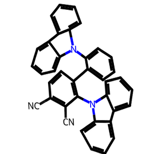 N#Cc1ccc(-c2ccccc2-n2c3ccccc3c3ccccc32)c(-n2c3ccccc3c3ccccc32)c1C#N